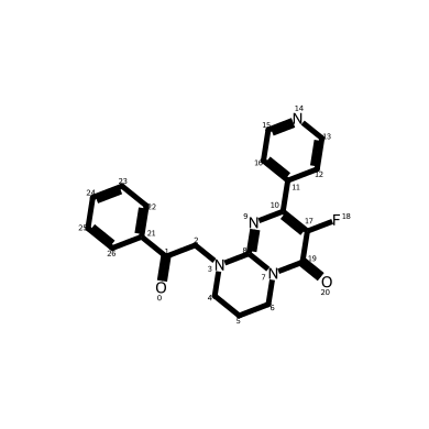 O=C(CN1CCCn2c1nc(-c1ccncc1)c(F)c2=O)c1ccccc1